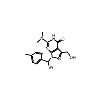 Cc1ccc(C(C(C)C)n2nc(CO)c3c(=O)[nH]c(N(C)C)nc32)cc1